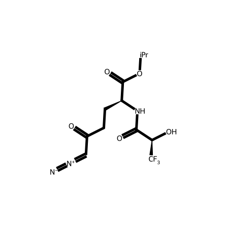 CC(C)OC(=O)[C@H](CCC(=O)C=[N+]=[N-])NC(=O)[C@@H](O)C(F)(F)F